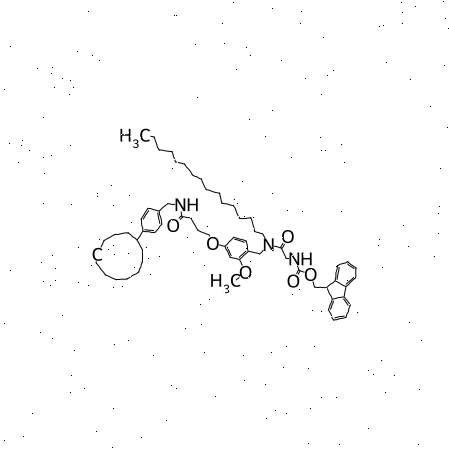 CCCCCCCCCCCCCCCCN(Cc1ccc(OCCCC(=O)NCc2ccc(C3CCCCCCCCCCC3)cc2)cc1OC)C(=O)CNC(=O)OCC1c2ccccc2-c2ccccc21